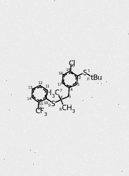 CC(C)(C)Sc1cc(CC(C)(C)Sc2ccccc2C(F)(F)F)ccc1Cl